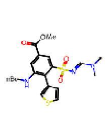 CCCCNc1cc(C(=O)OC)cc(S(=O)(=O)/N=C/N(C)C)c1-c1ccsc1